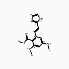 COC(=O)c1c(C=Cc2ccc[nH]2)cc(OC)cc1OC